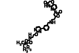 CC(C)(C)OC(=O)NCCOc1nccc(-c2cccc(CNCCC3CN(c4ccc5c(n4)NC(=O)CO5)C(=O)O3)c2)n1